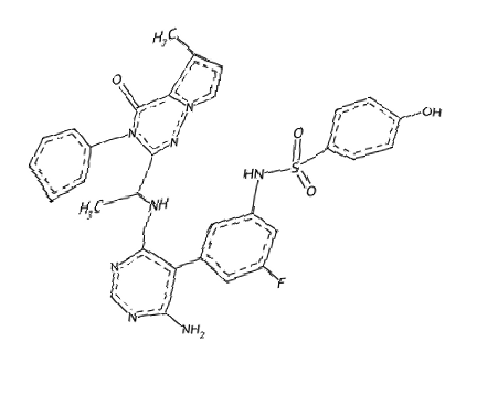 Cc1ccn2nc(C(C)Nc3ncnc(N)c3-c3cc(F)cc(NS(=O)(=O)c4ccc(O)cc4)c3)n(-c3ccccc3)c(=O)c12